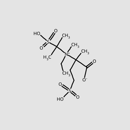 CC[N+](C)(C(C)(CCS(=O)(=O)O)C(=O)[O-])C(C)(C)S(=O)(=O)O